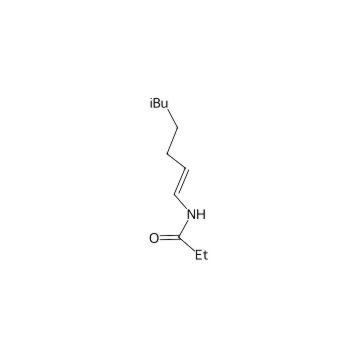 CCC(=O)NC=CCCC(C)CC